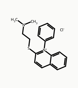 CN(C)CCSc1ccc2ccccc2[n+]1-c1ccccc1.[Cl-]